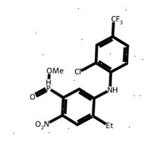 CCc1cc([N+](=O)[O-])c([PH](=O)OC)cc1Nc1ccc(C(F)(F)F)cc1Cl